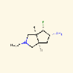 N[C@@H]1C[C@H]2CN(C(=O)O)C[C@H]2[C@@H]1F